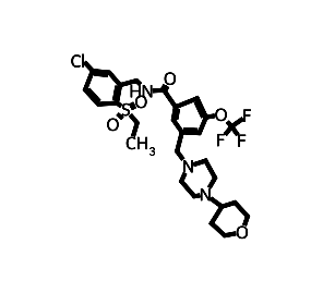 CCS(=O)(=O)c1ccc(Cl)cc1CNC(=O)c1cc(CN2CCN(C3CCOCC3)CC2)cc(OC(F)(F)F)c1